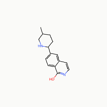 CC1CCC(c2ccc3c(O)nccc3c2)NC1